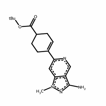 Cn1nc(N)c2cnc(C3=CCC(C(=O)OC(C)(C)C)CC3)cc21